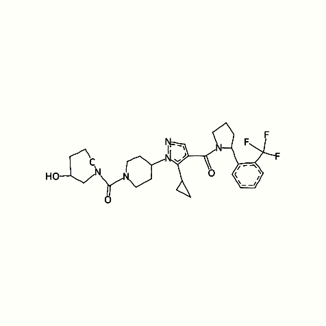 O=C(N1CCC(n2ncc(C(=O)N3CCCC3c3ccccc3C(F)(F)F)c2C2CC2)CC1)N1CCCC(O)C1